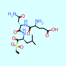 C=CS(=O)(=O)C(=O)[C@H](CC(C)C)NC(=O)[C@H](CC(N)=O)NC(=O)[C@@H](N)CCC(=O)O